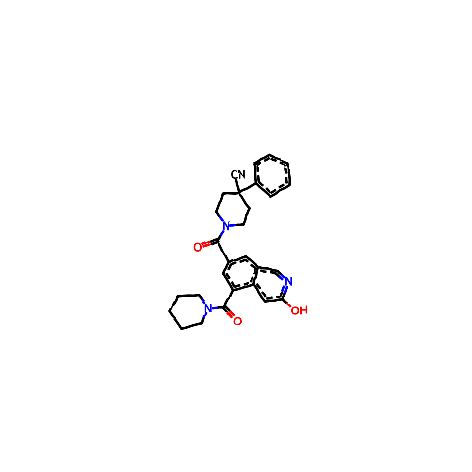 N#CC1(c2ccccc2)CCN(C(=O)c2cc(C(=O)N3CCCCC3)c3cc(O)ncc3c2)CC1